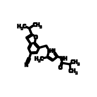 Cc1cc(NC(=O)C(C)C)nn1Cc1cc(C#N)cc2cc(C(C)C)oc12